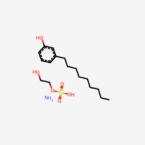 CCCCCCCCCc1cccc(O)c1.N.O=S(=O)(O)OCCO